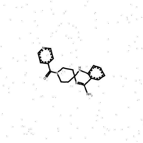 NC1=NC2(CCN(C(=O)c3ccncc3)CC2)Nc2ccccc21